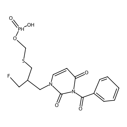 O=C(c1ccccc1)n1c(=O)ccn(CC(CF)CSCO[PH](=O)O)c1=O